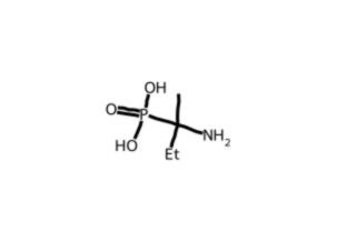 CCC(C)(N)P(=O)(O)O